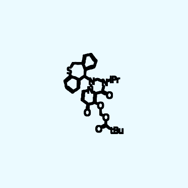 CC(C)N1CN(C2c3ccccc3CSc3ccccc32)n2ccc(=O)c(OCOC(=O)C(C)(C)C)c2C1=O